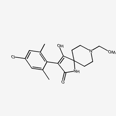 COCN1CCC2(CC1)NC(=O)C(c1c(C)cc(Cl)cc1C)=C2O